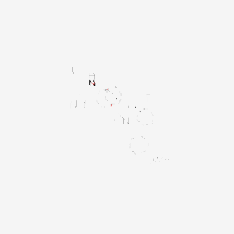 COc1ccc(CN(c2cccc(F)n2)S(=O)(=O)c2ncc(NC3[C@@H]4CC[C@H]3CN(Cc3ccccc3)C4)c(C)c2F)cc1